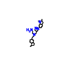 C=C1CCc2cc(CCN(CCN)Cc3cnn(-c4ccc5c(c4)N(C)C(=C)C5)c3)ccc21